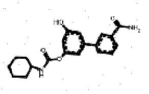 NC(=O)c1cccc(-c2cc(O)cc(OC(=O)NC3CCCCC3)c2)c1